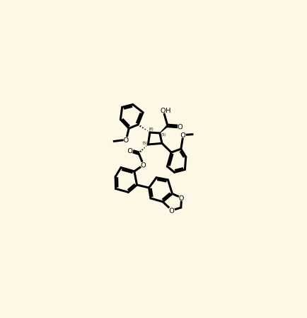 COc1ccccc1C1[C@H](C(=O)O)[C@@H](c2ccccc2OC)[C@H]1C(=O)Oc1ccccc1-c1ccc2c(c1)OCO2